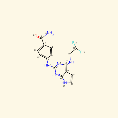 NC(=O)c1ccc(Nc2nc(NCC(F)F)c3cc[nH]c3n2)cc1